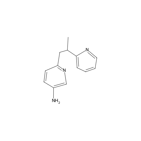 CC(Cc1ccc(N)cn1)c1ccccn1